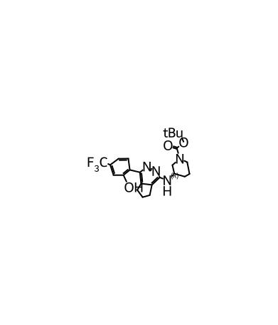 CC(C)(C)OC(=O)N1CCC[C@@H](Nc2nnc(-c3ccc(C(F)(F)F)cc3O)c3c2CCC3)C1